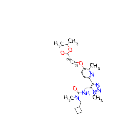 Cc1nc(-c2nnn(C)c2CNC(=O)N(C)CC2CCC2)ccc1O[C@H]1C[C@@H]1C(=O)OC(C)C